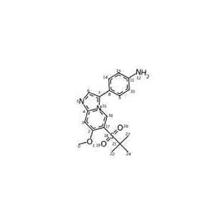 COc1cc2ncc(-c3ccc(N)cc3)n2cc1S(=O)(=O)C(C)(C)C